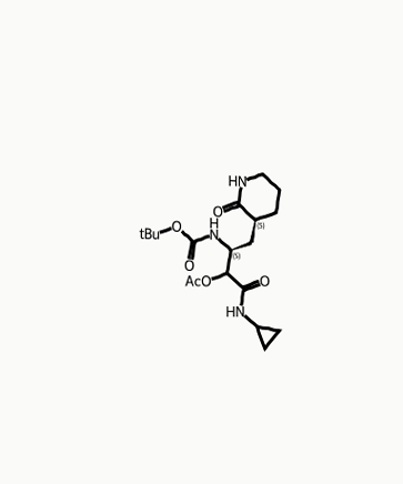 CC(=O)OC(C(=O)NC1CC1)[C@H](C[C@@H]1CCCNC1=O)NC(=O)OC(C)(C)C